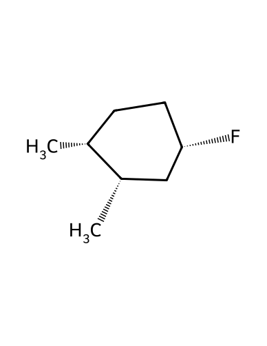 C[C@@H]1CC[C@H](F)C[C@@H]1C